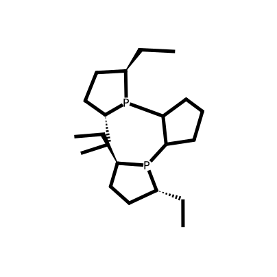 CC[C@@H]1CC[C@@H](CC)P1C1CCCC1P1[C@H](CC)CC[C@H]1CC